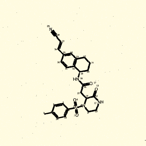 Cc1ccc(S(=O)(=O)N2CCNC(=O)C2CC(=O)N[C@@H]2CCCc3cc(C=CC#N)ccc32)cc1